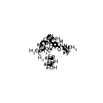 CCOc1cc(C(=O)Nc2cc(C(F)(F)F)n(C)n2)ccc1-c1nc([C@@]2(C)CC[C@@H]3CN(C(C)C)CC(=O)N3C2)n2ccnc(N)c12.O=C(O)C(F)(F)F.O=C(O)C(F)(F)F